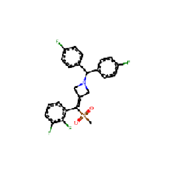 CS(=O)(=O)C(=C1CN(C(c2ccc(F)cc2)c2ccc(F)cc2)C1)c1cccc(F)c1F